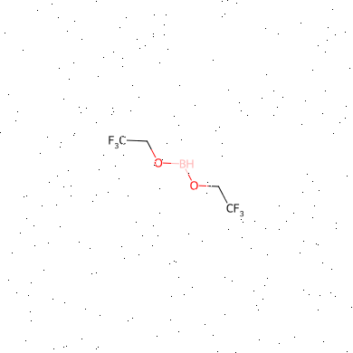 FC(F)(F)COBOCC(F)(F)F